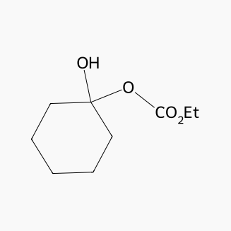 CCOC(=O)OC1(O)CCCCC1